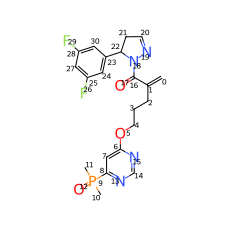 C=C(CCCOc1cc(P(C)(C)=O)ncn1)C(=O)N1N=CCC1c1cc(F)cc(F)c1